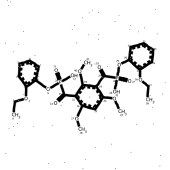 CCOc1ccccc1OP(=O)(O)C(=O)c1c(OC)cc(OC)c(C(=O)P(=O)(O)Oc2ccccc2OCC)c1OC